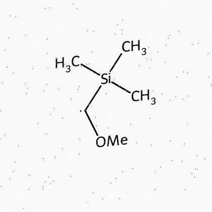 CO[CH][Si](C)(C)C